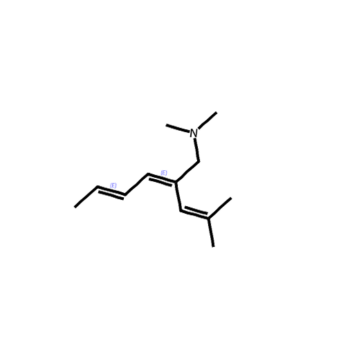 C/C=C/C=C(\C=C(C)C)CN(C)C